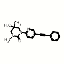 CN1CC(C)(C)CN(c2ccc(C#Cc3ccccc3)cn2)C1=O